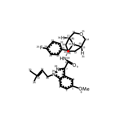 COc1ccc2c(c1)c(C(=O)N[C@H]1C[C@H]3COC[C@@H](C1)N3Cc1ccc(F)cc1)nn2CC=C(C)C